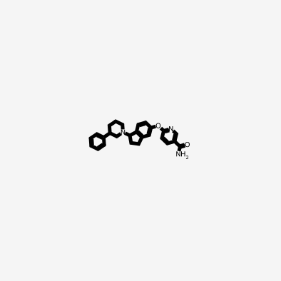 NC(=O)c1ccc(Oc2ccc3c(c2)CCC3N2CCCC(c3ccccc3)C2)nc1